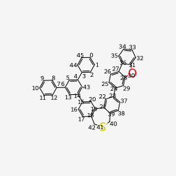 c1ccc(-c2cc(-c3ccccc3)cc(-c3ccc4c(c3)-c3cc(-c5ccc6c(c5)oc5ccccc56)ccc3CSC4)c2)cc1